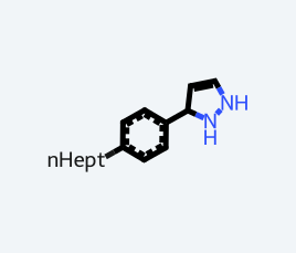 CCCCCCCc1ccc(C2C=CNN2)cc1